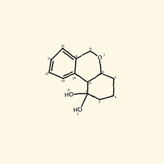 OC1(O)CCCC2OCc3ccccc3C21